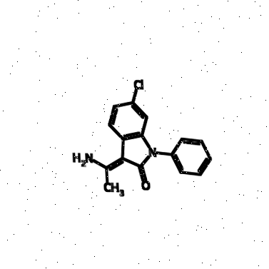 C/C(N)=C1\C(=O)N(c2ccccc2)c2cc(Cl)ccc21